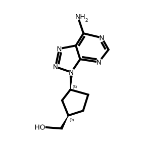 Nc1ncnc2c1nnn2[C@H]1CC[C@@H](CO)C1